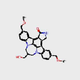 CC(C)OCc1ccc2c(c1)c1c3c(c4c5cc(COC(C)C)ccc5n5c4c1n2CC(CO)C5)C(=O)NC3